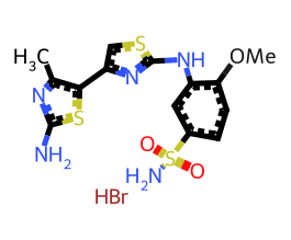 Br.COc1ccc(S(N)(=O)=O)cc1Nc1nc(-c2sc(N)nc2C)cs1